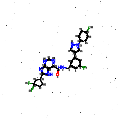 O=C(NCc1cc(F)cc(-c2cnn(-c3ccc(F)cc3)c2)c1)c1ncnc2nc(C3CCC(F)(F)C3)[nH]c12